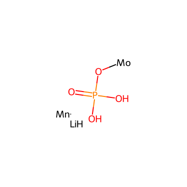 O=P(O)(O)[O][Mo].[LiH].[Mn]